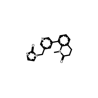 CN1C(=O)CCc2cccc(-c3cncc(Cn4ccsc4=O)c3)c21